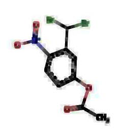 CC(=O)Oc1ccc([N+](=O)[O-])c(C(Br)Br)c1